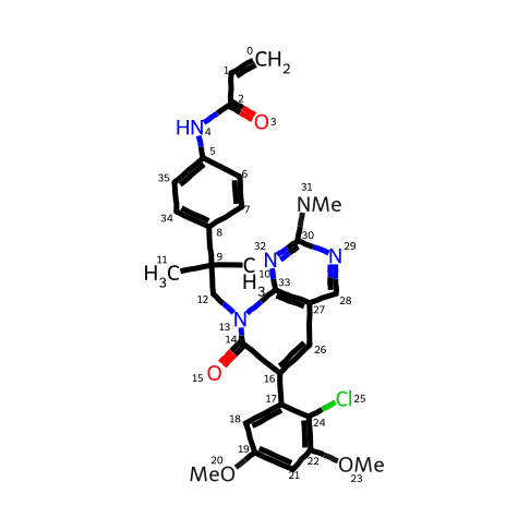 C=CC(=O)Nc1ccc(C(C)(C)Cn2c(=O)c(-c3cc(OC)cc(OC)c3Cl)cc3cnc(NC)nc32)cc1